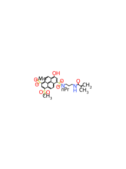 C=C(C)C(=O)NCCCN(CCC)S(=O)(=O)c1cc(O)c2ccc3c([S](=O)(=O)[Mo])cc(S(C)(=O)=O)c4ccc1c2c43